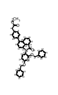 COC(=O)Cc1ccc(-c2ccc3c4c(cccc24)C(=O)N3c2ccc(OCc3ccccc3)nc2OCc2ccccc2)cc1